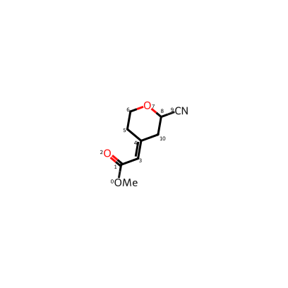 COC(=O)C=C1CCOC(C#N)C1